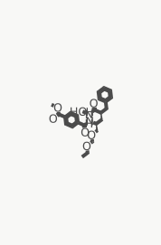 CCOCOC[C@H](C[C@H](Cc1ccccc1)C(=O)NO)NC(=O)c1ccc(C(=O)OC)cc1